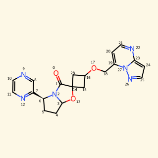 O=C1N2C(CC[C@H]2c2cnccn2)OC12CC(OCc1ccnc3ccnn13)C2